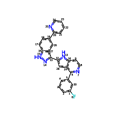 Fc1cccc(-c2nccc3[nH]c(-c4n[nH]c5ccc(-c6ccccn6)cc45)cc23)c1